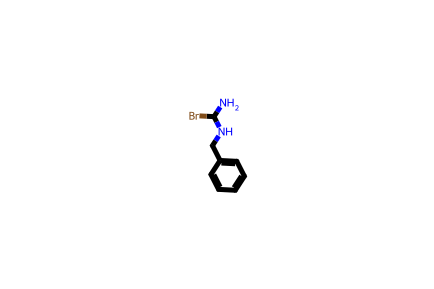 NC(Br)NCc1ccccc1